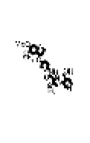 CCOc1cn(-c2cnccc2CO)nc1C(=O)Nc1ccc(Oc2ccnc3cc(OC)c(OC(F)(F)F)cc23)cn1